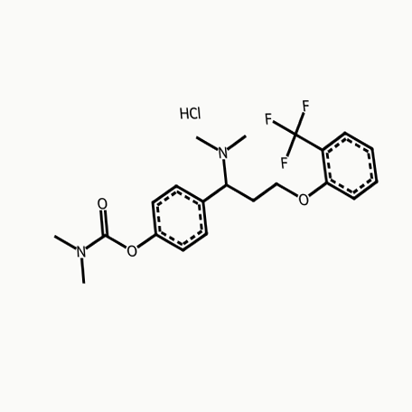 CN(C)C(=O)Oc1ccc(C(CCOc2ccccc2C(F)(F)F)N(C)C)cc1.Cl